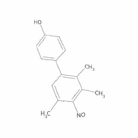 Cc1cc(-c2ccc(O)cc2)c(C)c(C)c1N=O